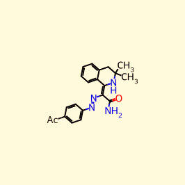 CC(=O)c1ccc(N=N/C(C(N)=O)=C2/NC(C)(C)Cc3ccccc32)cc1